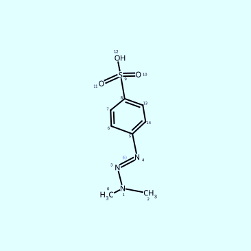 CN(C)/N=N/c1ccc(S(=O)(=O)O)cc1